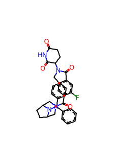 O=C1CCC(N2Cc3cc(C(=O)N4CC5CCC(C4)N5C(c4ccccc4)c4ccccc4)c(F)cc3C2=O)C(=O)N1